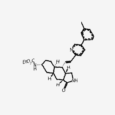 CCOC(=O)N[C@@H]1CC[C@@H]2[C@@H](C1)C[C@H]1C(=O)NC[C@H]1[C@H]2/C=C/c1ccc(-c2cccc(C)c2)cn1